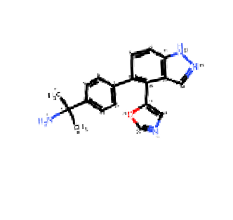 CC(C)(N)c1ccc(-c2ccc3[nH]ncc3c2-c2cnco2)cc1